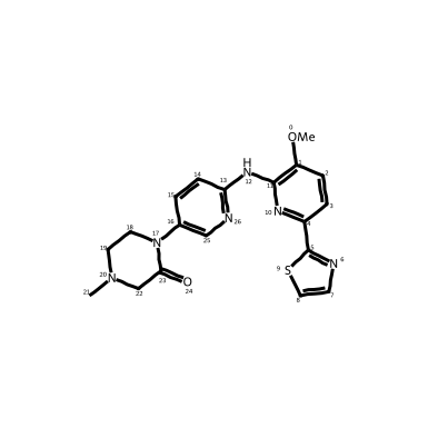 COc1ccc(-c2nccs2)nc1Nc1ccc(N2CCN(C)CC2=O)cn1